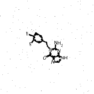 Nc1nc2[nH]cnc2c(=O)n1CCc1ccc(F)c(F)c1